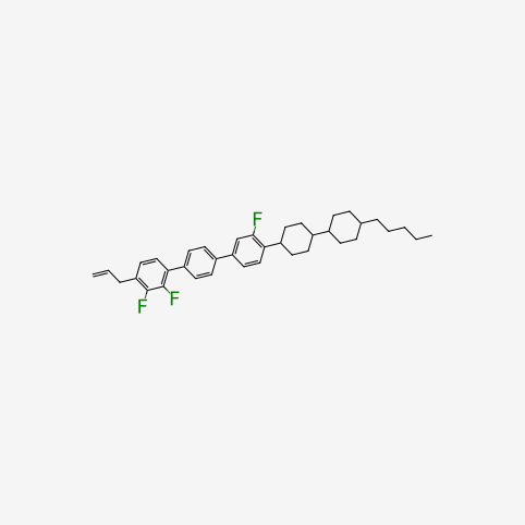 C=CCc1ccc(-c2ccc(-c3ccc(C4CCC(C5CCC(CCCCC)CC5)CC4)c(F)c3)cc2)c(F)c1F